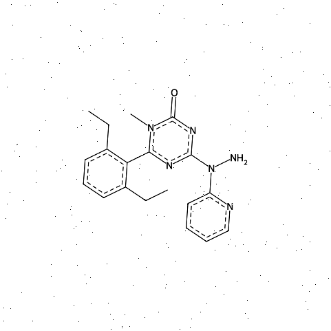 CCc1cccc(CC)c1-c1nc(N(N)c2ccccn2)nc(=O)n1C